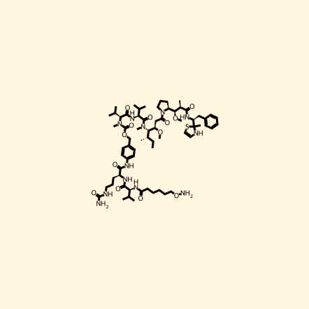 CC[C@H](C)[C@@H]([C@@H](CC(=O)N1CCC[C@H]1[C@H](OC)[C@@H](C)C(=O)N[C@@H](Cc1ccccc1)C1(C)NC=CS1)OC)N(C)C(=O)[C@@H](NC(=O)[C@H](C(C)C)N(C)C(=O)OCc1ccc(NC(=O)[C@H](CCCNC(N)=O)NC(=O)[C@@H](NC(=O)CCCCCON)C(C)C)cc1)C(C)C